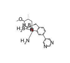 BC1(B)OC(N)=NC12c1cc(-c3cncnc3)ccc1C[C@@]21C[C@@H](C)[C@H](OC)[C@@H](C)C1